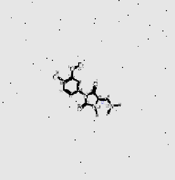 CCOc1cc(N2C(=O)/C(=C/N(C)C)N(C)C2=O)ccc1Cl